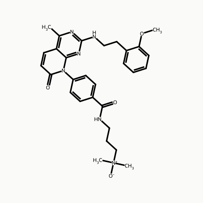 COc1ccccc1CCNc1nc(C)c2ccc(=O)n(-c3ccc(C(=O)NCCC[N+](C)(C)[O-])cc3)c2n1